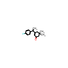 C=C(C1=CC(=O)CC(C)(C)C1)c1ccc(F)cc1